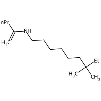 C=C(CCC)NCCCCCCC(C)(C)CC